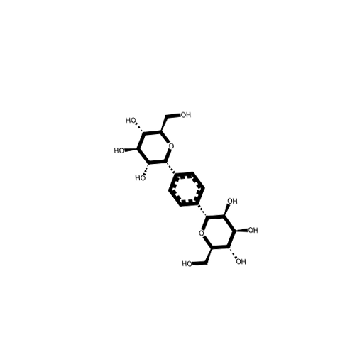 OC[C@H]1O[C@H](c2ccc([C@H]3O[C@H](CO)[C@@H](O)[C@H](O)[C@@H]3O)cc2)[C@H](O)[C@@H](O)[C@@H]1O